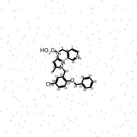 Cc1cc(N(Cc2ccncc2)C(=O)O)nn1Cc1cc(Cl)ccc1OCc1ccccc1